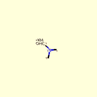 CN(C)C=O.[KH]